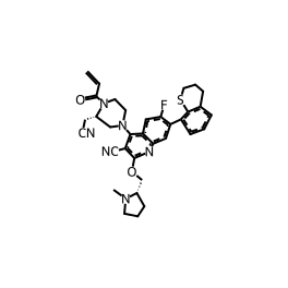 C=CC(=O)N1CCN(c2c(C#N)c(OC[C@@H]3CCCN3C)nc3cc(-c4cccc5c4SCCC5)c(F)cc23)C[C@@H]1CC#N